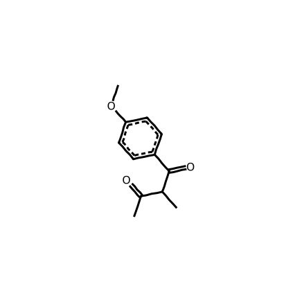 COc1ccc(C(=O)C(C)C(C)=O)cc1